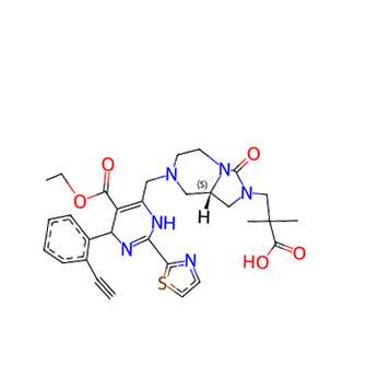 C#Cc1ccccc1C1N=C(c2nccs2)NC(CN2CCN3C(=O)N(CC(C)(C)C(=O)O)C[C@@H]3C2)=C1C(=O)OCC